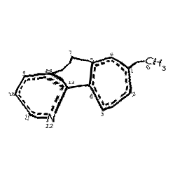 Cc1ccc2c(c1)Cc1cccnc1-2